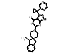 N[C@@H]1c2ccccc2CC12CCN(c1nc3[nH]nc(C4(c5cnccn5)CC4)c3c(=O)[nH]1)CC2